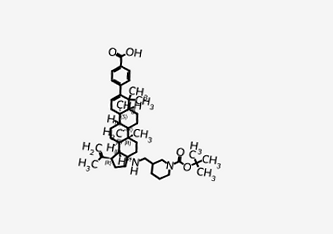 C=C(C)[C@@H]1CC[C@]2(NCC3CCCN(C(=O)OC(C)(C)C)C3)CC[C@]3(C)[C@H](CC[C@@H]4[C@@]5(C)CC=C(c6ccc(C(=O)O)cc6)C(C)(C)[C@@H]5CC[C@]43C)[C@@H]12